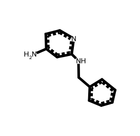 Nc1ccnc(NCc2ccccc2)c1